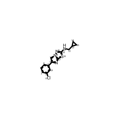 Clc1cccc(-c2cn3nc(NCC4CC4)sc3n2)c1